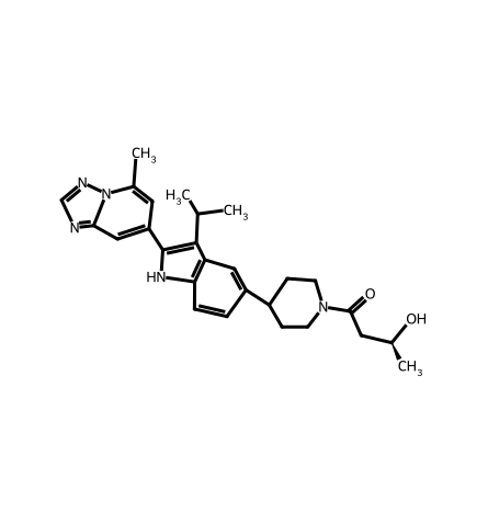 Cc1cc(-c2[nH]c3ccc(C4CCN(C(=O)C[C@H](C)O)CC4)cc3c2C(C)C)cc2ncnn12